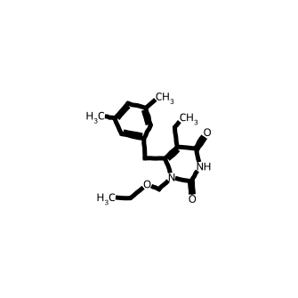 CCOCn1c(Cc2cc(C)cc(C)c2)c(CC)c(=O)[nH]c1=O